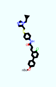 CCCCOc1ccc(-c2ccc(Cl)c(/C=C/C(=O)Nc3ccc(SCc4cncn4CC4CC4)cc3)c2)cc1